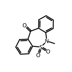 CN1c2ccccc2C(=O)c2ccccc2S1(=O)=O